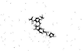 CC(C)Nc1ccc(OC(F)(F)F)c(Cn2c(=O)[nH]c3cnc(NC[C@@H]4CCNC4)nc32)c1